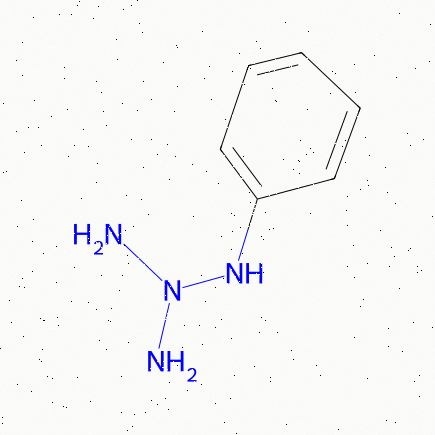 NN(N)Nc1ccccc1